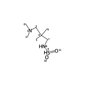 CN(C)CC(C)(C)CN[SH](=O)=O